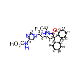 O=C(O)Nc1cn(CCCCC2(C(=O)NCC(F)(F)F)c3ccccc3-c3ccccc32)cn1